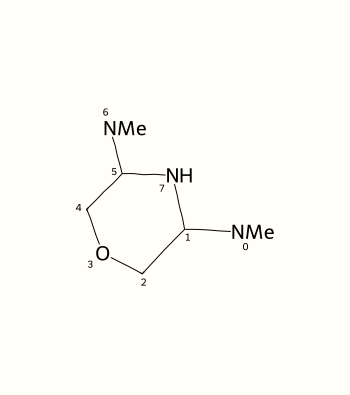 CNC1COCC(NC)N1